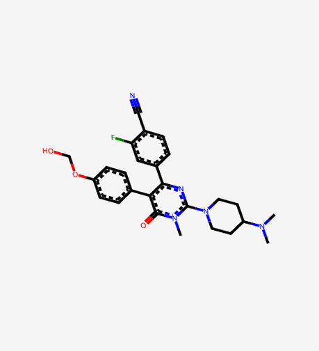 CN(C)C1CCN(c2nc(-c3ccc(C#N)c(F)c3)c(-c3ccc(OCO)cc3)c(=O)n2C)CC1